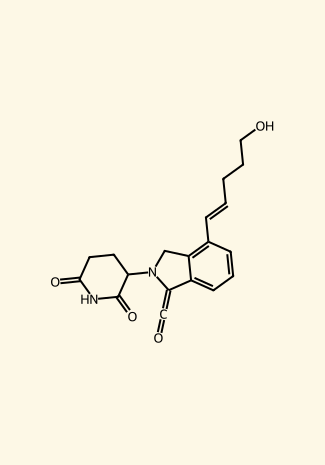 O=C=C1c2cccc(C=CCCCO)c2CN1C1CCC(=O)NC1=O